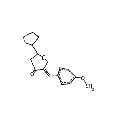 COc1ccc(C=C2CCC(C3CCCC3)CC2=O)cc1